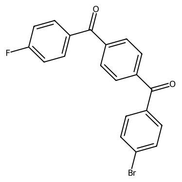 O=C(c1ccc(F)cc1)c1ccc(C(=O)c2ccc(Br)cc2)cc1